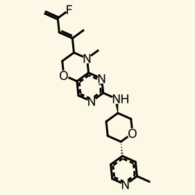 C=C(F)/C=C(\C)C1COc2cnc(N[C@@H]3CC[C@@H](c4ccnc(C)c4)OC3)nc2N1C